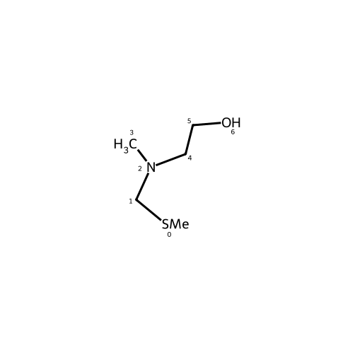 CSCN(C)CCO